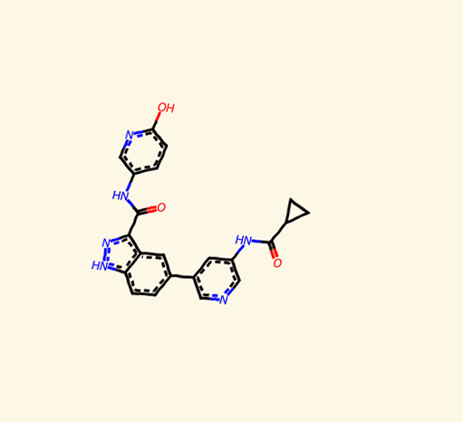 O=C(Nc1ccc(O)nc1)c1n[nH]c2ccc(-c3cncc(NC(=O)C4CC4)c3)cc12